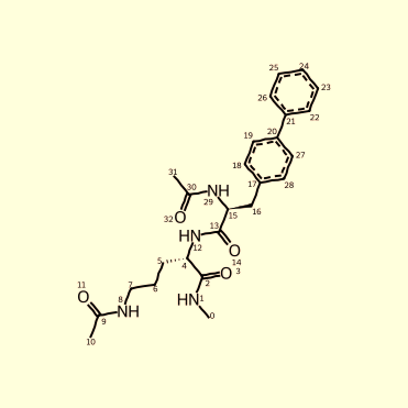 CNC(=O)[C@H](CCCNC(C)=O)NC(=O)[C@H](Cc1ccc(-c2ccccc2)cc1)NC(C)=O